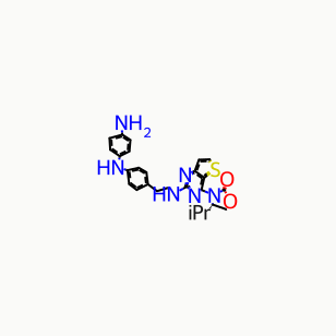 CC(C)[C@H]1COC(=O)N1c1nc(NCCc2ccc(Nc3ccc(N)cc3)cc2)nc2ccsc12